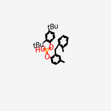 Cc1ccc(OP(O)Oc2ccc(C(C)(C)C)cc2C(C)(C)C)c(Cc2ccccc2C)c1